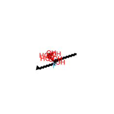 CCCCCCCCCCCCCC[C@@H](O)[C@@H](O)[C@@H](/C=C(/F)CCCCCCCCCCC1CC1)CCOC1OC(CO)C(O)C(O)C1O